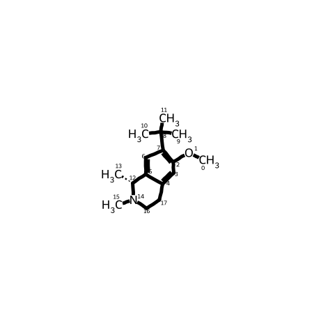 COc1cc2c(cc1C(C)(C)C)[C@@H](C)N(C)CC2